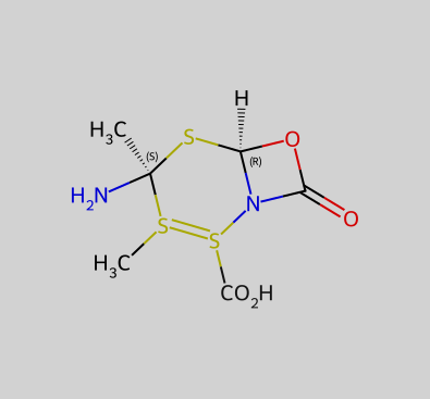 CS1=S(C(=O)O)N2C(=O)O[C@@H]2S[C@]1(C)N